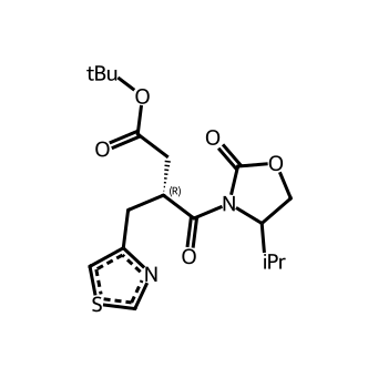 CC(C)C1COC(=O)N1C(=O)[C@@H](CC(=O)OC(C)(C)C)Cc1cscn1